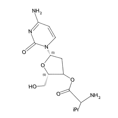 CC(C)C(N)C(=O)OC1C[C@@H](n2ccc(N)nc2=O)O[C@H]1CO